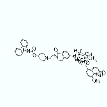 CC(C)(C)[Si](C)(C)O[C@@H](CNCCc1ccc2c(c1)CCN(CCN1CCC(OC(=O)Nc3ccccc3-c3ccccc3)CC1)C2=O)c1ccc(O)c2[nH]c(=O)ccc12